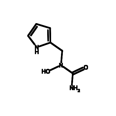 NC(=O)N(O)Cc1ccc[nH]1